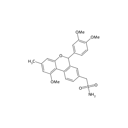 COc1ccc(C2Oc3cc(C)cc(OC)c3-c3ccc(CS(N)(=O)=O)cc32)cc1OC